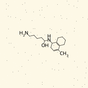 CC1=CCC(NC(O)CCCCN)C2=C1CCCC2